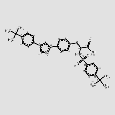 CC(C)(C)c1ccc(-n2cc(-c3ccc(CC(NS(=O)(=O)c4ccc(C(C)(C)C)cc4)C(=O)O)cc3)nn2)cc1